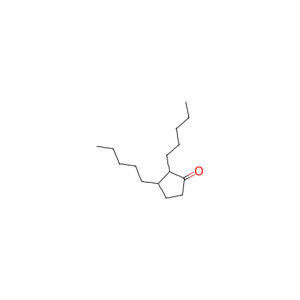 CCCCCC1CCC(=O)C1CCCCC